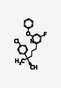 C#CC(C)(CCCc1cc(F)cc(Oc2ccccc2)n1)c1ccc(Cl)cc1